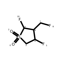 O=S1(=O)CC(F)C(CF)C1F